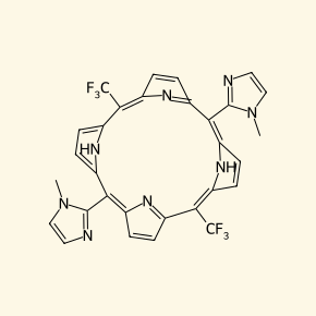 Cn1ccnc1-c1c2nc(c(C(F)(F)F)c3ccc([nH]3)c(-c3nccn3C)c3nc(c(C(F)(F)F)c4ccc1[nH]4)C=C3)C=C2